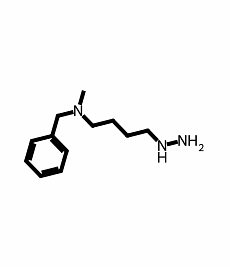 CN(CCCCNN)Cc1ccccc1